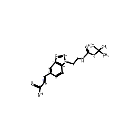 CC(C)(C)OC(=O)NCCn1nnc2cc(/C=C/C(=O)O)ccc21